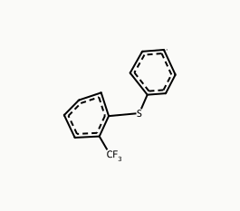 FC(F)(F)c1ccccc1Sc1cc[c]cc1